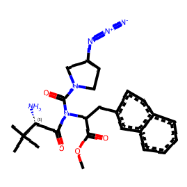 COC(=O)C(Cc1ccc2ccccc2c1)N(C(=O)[C@@H](N)C(C)(C)C)C(=O)N1CCC(N=[N+]=[N-])C1